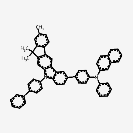 Cc1ccc2c(c1)C(C)(C)c1cc3c(cc1-2)c1cc(-c2ccc(N(c4ccccc4)c4ccc5ccccc5c4)cc2)ccc1n3-c1ccc(-c2ccccc2)cc1